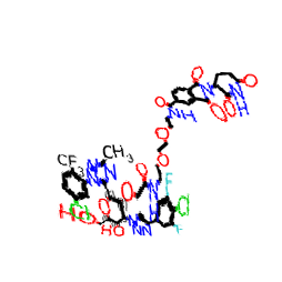 Cc1nc([C@@H]2O[C@H](CO)[C@H](O)[C@H](n3cc(-c4cc(F)c(Cl)c(F)c4)nn3)[C@H]2OCC(=O)NCCOCCOCCNC(=O)c2ccc3c(c2)C(=O)N(C2CCC(=O)NC2=O)C3=O)n(-c2cc(Cl)ccc2C(F)(F)F)n1